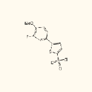 COc1ccc(-c2ccc(S(=O)(=O)Cl)s2)cc1F